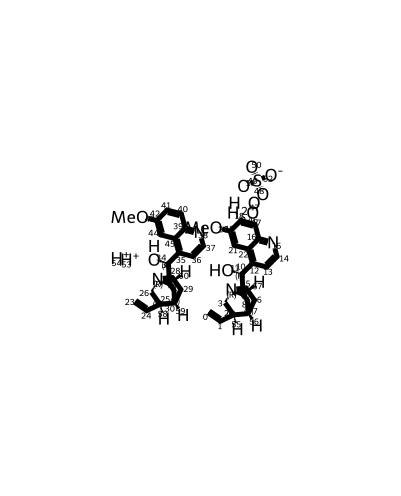 C=C[C@H]1C[N@]2CC[C@H]1C[C@H]2[C@H](O)c1ccnc2ccc(OC)cc12.C=C[C@H]1C[N@]2CC[C@H]1C[C@H]2[C@H](O)c1ccnc2ccc(OC)cc12.O.O.O=S(=O)([O-])[O-].[H+].[H+]